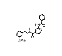 COc1cccc(CCNC(=O)c2ccnc(NC(=O)c3ccccc3)c2)c1